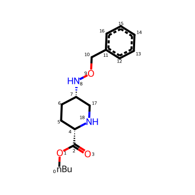 CCCCOC(=O)[C@@H]1CC[C@H](NOCc2ccccc2)CN1